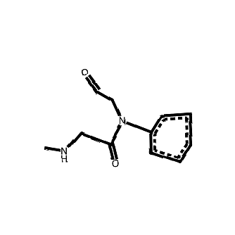 CNCC(=O)N(C[C]=O)c1ccccc1